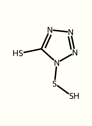 SSn1nnnc1S